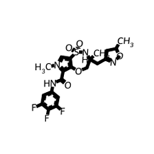 CC1CC(CC2(C)COc3c(cn(C)c3C(=O)Nc3cc(F)c(F)c(F)c3)S(=O)(=O)N2)=NO1